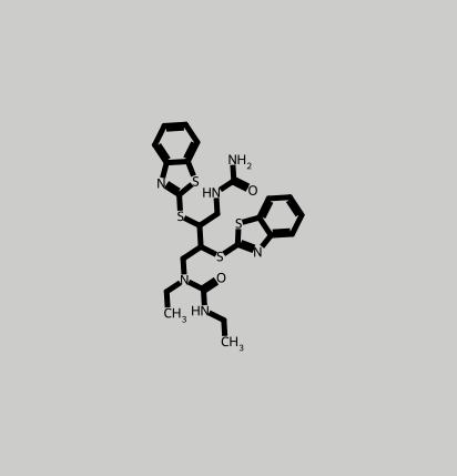 CCNC(=O)N(CC)CC(Sc1nc2ccccc2s1)C(CNC(N)=O)Sc1nc2ccccc2s1